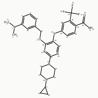 CN(C)c1cccc(COc2nc(N3CCN(C4CC4)CC3)ncc2Sc2ccc(C(N)=O)c(C(F)(F)F)c2)c1